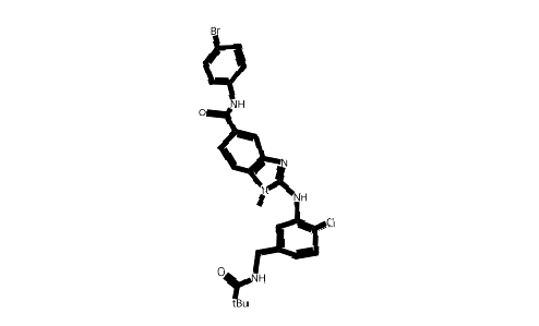 Cn1c(Nc2cc(CNC(=O)C(C)(C)C)ccc2Cl)nc2cc(C(=O)Nc3ccc(Br)cc3)ccc21